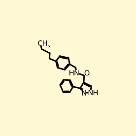 CCCCc1ccc(CNC(=O)c2c[nH]nc2-c2ccccc2)cc1